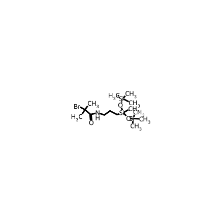 CC(C)(Br)C(=O)NCCC[Si](C)(O[Si](C)(C)C)O[Si](C)(C)C